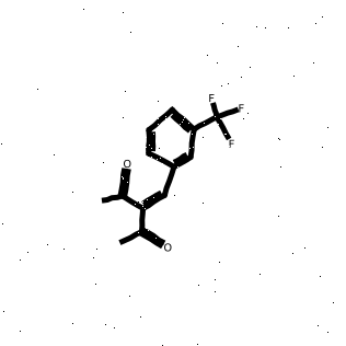 CC(=O)C(=Cc1cccc(C(F)(F)F)c1)C(C)=O